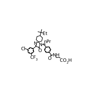 CCC[C@H](c1ccc(C(=O)NCCC(=O)O)cc1)N1C(=O)C(c2cc(Cl)cc(C(F)(F)F)c2)=NC12CCC(C(C)(C)CC)CC2